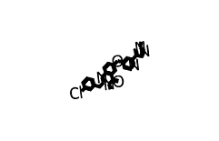 Cn1cc(-c2cc(Oc3ccc4nc(Cc5cccc(Cl)c5)n(C)c(=O)c4c3)ccn2)cn1